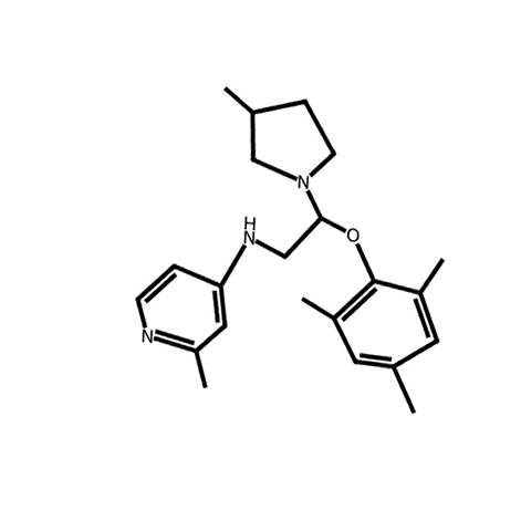 Cc1cc(C)c(OC(CNc2ccnc(C)c2)N2CCC(C)C2)c(C)c1